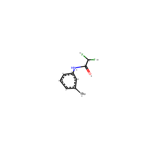 CC(C)(C)c1cccc(NC(=O)C(F)F)c1